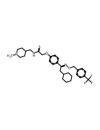 CN1CCC(CNC(=S)COc2ccc(C(CC3CCCCC3)=NOCc3ccc(C(F)(F)F)cc3)cc2)CC1